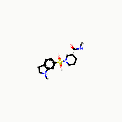 CC(C)NC(=O)[C@@H]1CCCN(S(=O)(=O)c2ccc3c(c2)N(C)CC3)C1